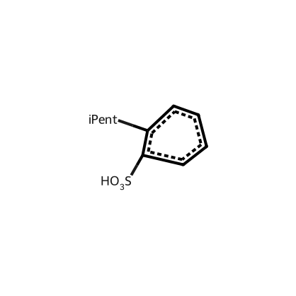 CCCC(C)c1ccccc1S(=O)(=O)O